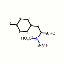 CNN(C(=O)O)C(C=O)CC1CCC(C)CC1